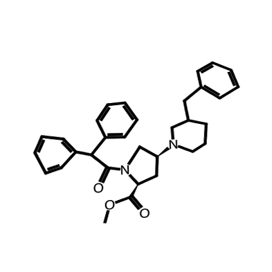 COC(=O)[C@@H]1C[C@H](N2CCCC(Cc3ccccc3)C2)CN1C(=O)C(c1ccccc1)c1ccccc1